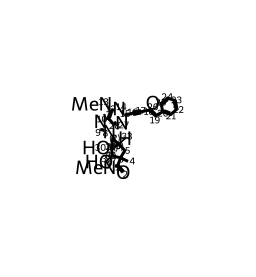 CNC(=O)C1(C)C[C@H]2[C@@H](n3cnc4c(NC)nc(C#Cc5cc6ccccc6o5)nc43)[C@@]2(O)[C@@H]1O